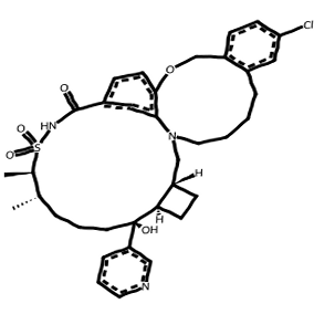 C[C@@H]1[C@@H](C)CCC[C@@](O)(c2cccnc2)[C@@H]2CC[C@H]2CN2CCCCc3cc(Cl)ccc3COc3ccc(cc32)C(=O)NS1(=O)=O